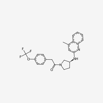 Cc1cc(N[C@H]2CCN(C(=O)Cc3ccc(OC(F)(F)F)cc3)C2)nc2ccccc12